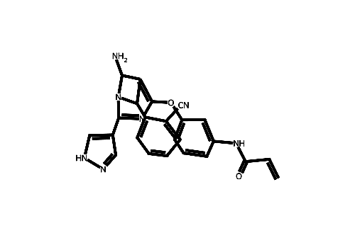 C=CC(=O)Nc1cccc(OC2=C3C(N)N(C(c4cn[nH]c4)=N2)C3c2ccccc2C#N)c1